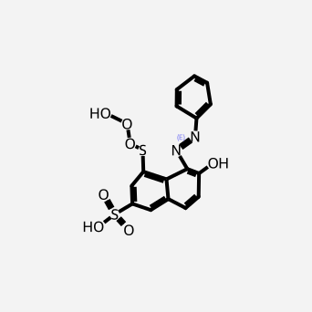 O=S(=O)(O)c1cc(SOOO)c2c(/N=N/c3ccccc3)c(O)ccc2c1